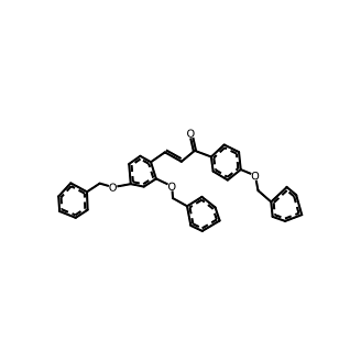 O=C(C=Cc1ccc(OCc2ccccc2)cc1OCc1ccccc1)c1ccc(OCc2ccccc2)cc1